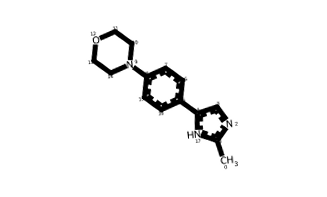 Cc1ncc(-c2ccc(N3CCOCC3)cc2)[nH]1